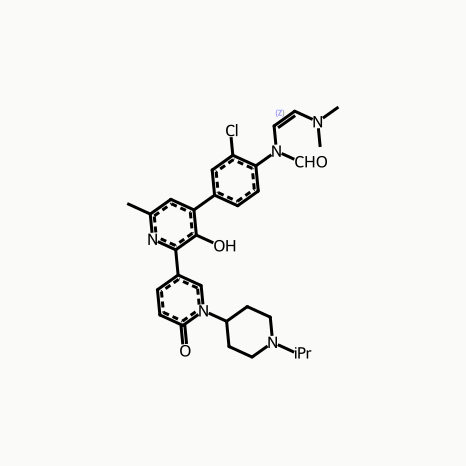 Cc1cc(-c2ccc(N(C=O)/C=C\N(C)C)c(Cl)c2)c(O)c(-c2ccc(=O)n(C3CCN(C(C)C)CC3)c2)n1